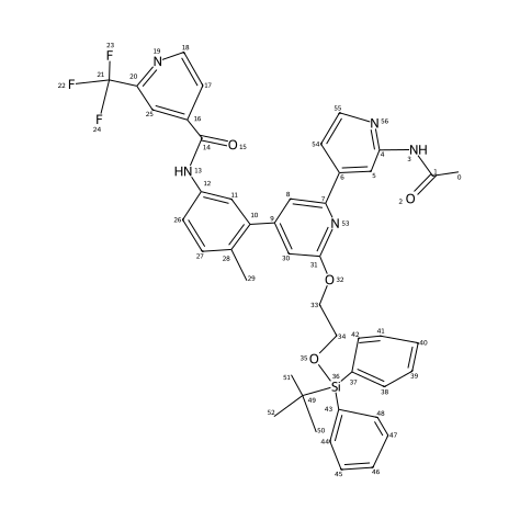 CC(=O)Nc1cc(-c2cc(-c3cc(NC(=O)c4ccnc(C(F)(F)F)c4)ccc3C)cc(OCCO[Si](c3ccccc3)(c3ccccc3)C(C)(C)C)n2)ccn1